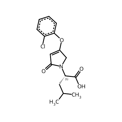 CC(C)C[C@@H](C(=O)O)N1CC(Oc2ccccc2Cl)=CC1=O